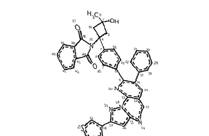 CC1(O)CC(c2ccc(-c3nc4c(cnc5cc(-c6ccsc6)nn54)cc3-c3ccccc3)cc2)(N2C(=O)c3ccccc3C2=O)C1